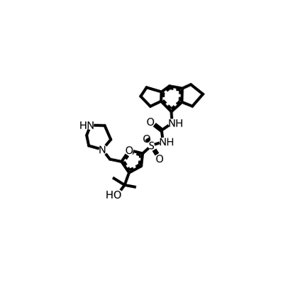 CC(C)(O)c1cc(S(=O)(=O)NC(=O)Nc2c3c(cc4c2CCC4)CCC3)oc1CN1CCNCC1